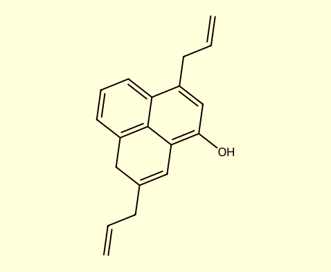 C=CCC1=Cc2c(O)cc(CC=C)c3cccc(c23)C1